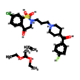 C=C.CCOC(C)OCC.O=C1CN(CCCN2CCC(C(=O)c3ccc(F)cc3)CC2)S(=O)(=O)c2cc(Cl)ccc21